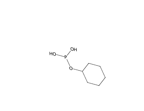 OP(O)OC1CCCCC1